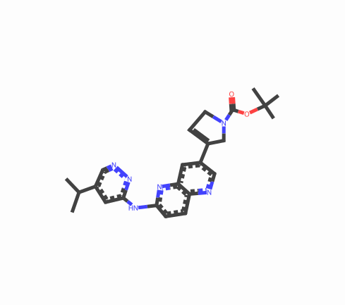 CC(C)c1cnnc(Nc2ccc3ncc(C4=CCN(C(=O)OC(C)(C)C)C4)cc3n2)c1